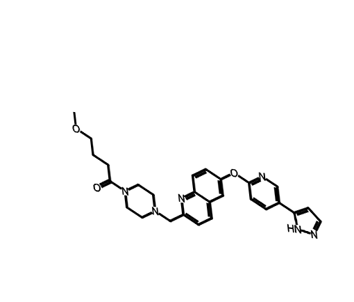 COCCCC(=O)N1CCN(Cc2ccc3cc(Oc4ccc(-c5ccn[nH]5)cn4)ccc3n2)CC1